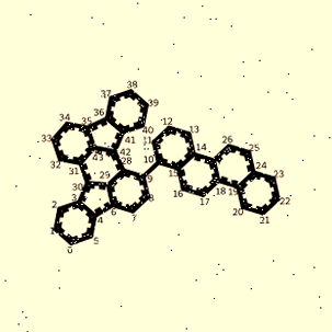 [c]1ccc2c(c1)c1ccc(-c3cccc4c3ccc3c5ccccc5ccc43)c3c1c2c1cccc2c4ccccc4c3c21